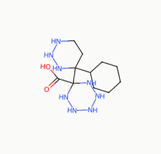 O=C(O)C1(C2(C3CCCCC3)CCNNN2)NNNNN1